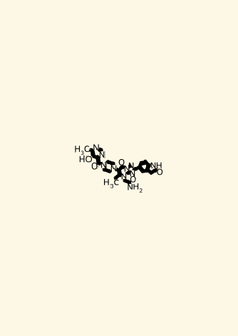 CCc1c(N2CCN(C(=O)c3ncnc(C)c3O)CC2)c(=O)n2nc(-c3ccc4c(c3)CC(=O)N4)nc2n1CC(N)=O